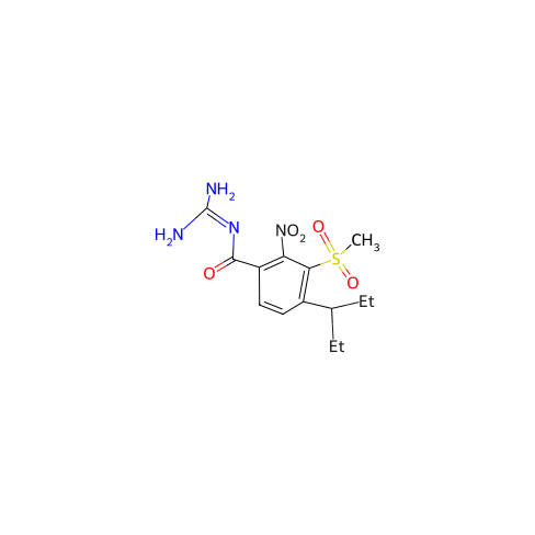 CCC(CC)c1ccc(C(=O)N=C(N)N)c([N+](=O)[O-])c1S(C)(=O)=O